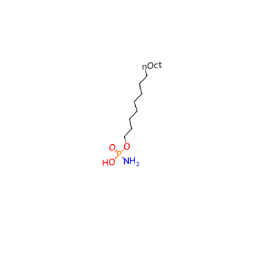 CCCCCCCCCCCCCCCCOP(N)(=O)O